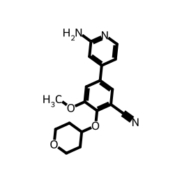 COc1cc(-c2ccnc(N)c2)cc(C#N)c1OC1CCOCC1